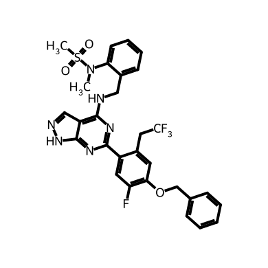 CN(c1ccccc1CNc1nc(-c2cc(F)c(OCc3ccccc3)cc2CC(F)(F)F)nc2[nH]ncc12)S(C)(=O)=O